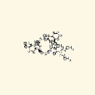 CCCC(CCC)C(=O)N(C)C1/C=C/CO[C@@H]2C[C@H](NC[C@@H](O)[C@H](Cc3ccccc3)NC1=O)c1cc(OC)ccc12